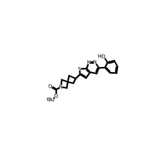 CC(C)(C)OC(=O)N1CC2(CC(c3cc4cc(-c5ccccc5O)nnc4s3)C2)C1